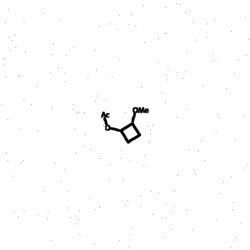 COC1CCC1OC(C)=O